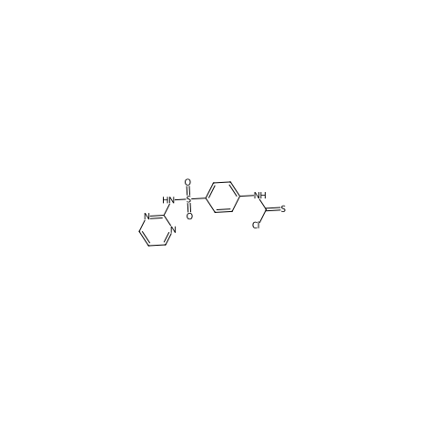 O=S(=O)(Nc1ncccn1)c1ccc(NC(=S)Cl)cc1